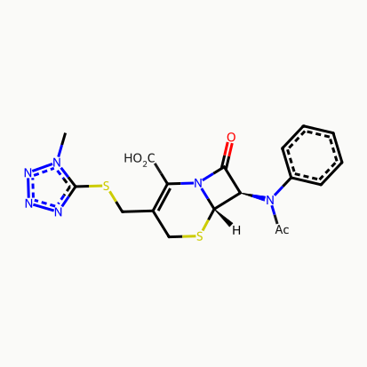 CC(=O)N(c1ccccc1)[C@@H]1C(=O)N2C(C(=O)O)=C(CSc3nnnn3C)CS[C@@H]12